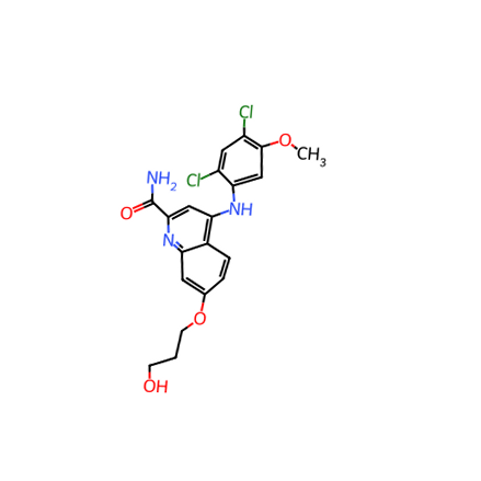 COc1cc(Nc2cc(C(N)=O)nc3cc(OCCCO)ccc23)c(Cl)cc1Cl